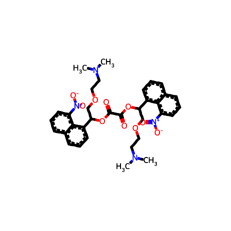 CN(C)CCOCC(OC(=O)C(=O)OC(COCCN(C)C)c1cccc2cccc([N+](=O)[O-])c12)c1cccc2cccc([N+](=O)[O-])c12